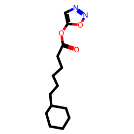 O=C(CCCCCC1CCCCC1)Oc1cnno1